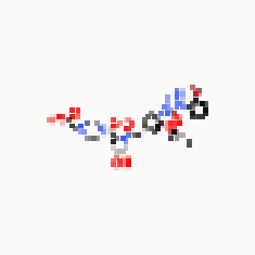 COc1cc(CC(=O)N2C[C@@H](O)C[C@H]2C(=O)N2CCN(CC(=O)O)CC2)ccc1NC(=O)Nc1ccccc1Br